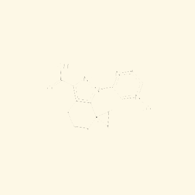 O=C(O)c1nn(-c2c[n+]([O-])ccn2)c2c1CCCC21CC1